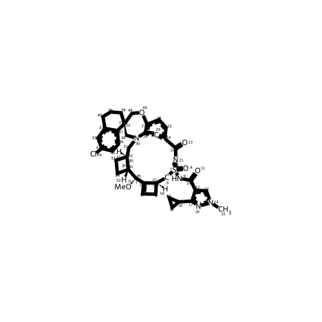 CO[C@H]1C2=CC[C@@H]2CS(=O)(NC(=O)c2cn(C)nc2C2CC2)=NC(=O)c2ccc3c(c2)N(C[C@@H]2CC[C@H]21)C[C@@]1(CCCc2cc(Cl)ccc21)CO3